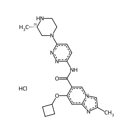 Cc1cn2cc(C(=O)Nc3ccc(N4CCN[C@@H](C)C4)nn3)c(OC3CCC3)cc2n1.Cl